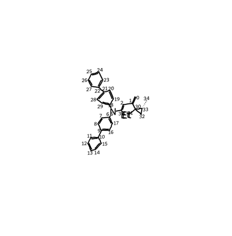 C=C(/C=C(\CC)N(c1ccc(-c2ccccc2)cc1)c1ccc(-c2ccccc2)cc1)C1(CC)C[C@H]1C